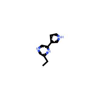 CCc1cncc(-c2cc[nH]c2)n1